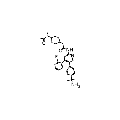 CC(=O)N(C)C1CCC(CC(=O)Nc2cc(-c3ccccc3F)c(-c3ccc(C(C)(C)N)cc3)cn2)CC1